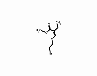 CCC(=COCCBr)C(=O)OC